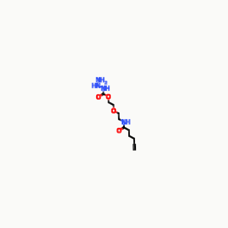 C#CCCCC(=O)NCCOCCOC(=O)NNN